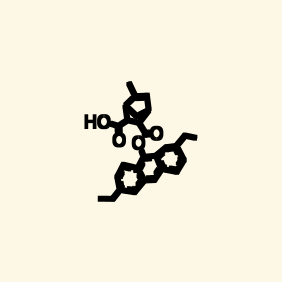 CCc1ccc2c(OC(=O)C3C4C=C(C)C(C4)C3C(=O)O)c3cc(CC)ccc3cc2c1